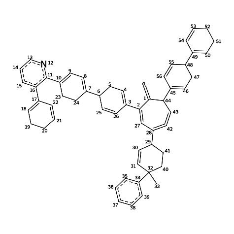 C=C1C(C2=CCC(C3=CC=C(c4ncccc4C4=CCCC=C4)CC3)C=C2)=CC(C2C=CC(C)(c3ccccc3)CC2)=C=CC1C1=CCC(C2=CCCC=C2)C=C1